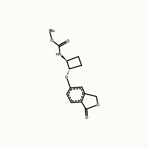 CC(C)(C)OC(=O)N[C@H]1CC[C@@H]1Oc1ccc2c(c1)COC2=O